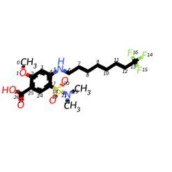 COc1cc(NCCCCCCCC(F)(F)F)c(S(=O)(=O)N(C)C)cc1C(=O)O